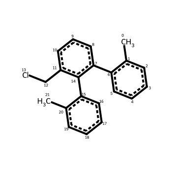 Cc1ccccc1-c1cccc(CCl)c1-c1ccccc1C